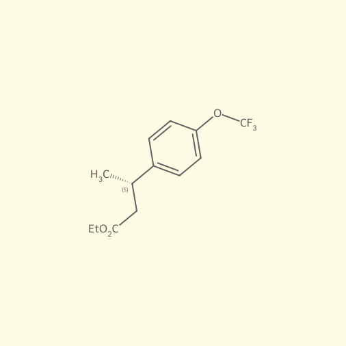 CCOC(=O)C[C@H](C)c1ccc(OC(F)(F)F)cc1